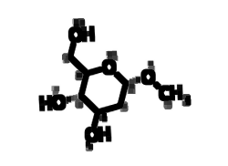 CO[C@@H]1CC(O)[C@H](O)C(CO)O1